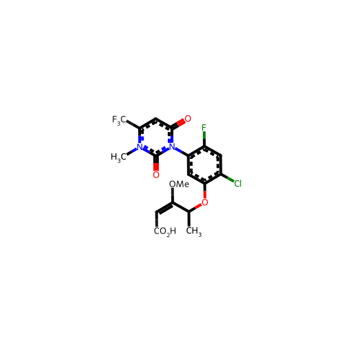 CO/C(=C/C(=O)O)C(C)Oc1cc(-n2c(=O)cc(C(F)(F)F)n(C)c2=O)c(F)cc1Cl